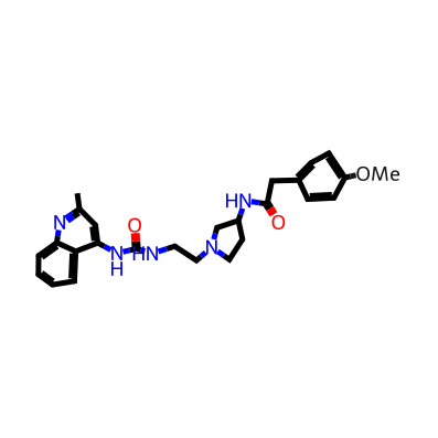 COc1ccc(CC(=O)NC2CCN(CCNC(=O)Nc3cc(C)nc4ccccc34)C2)cc1